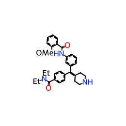 CCN(CC)C(=O)c1ccc(C(=C2CCNCC2)c2cccc(NC(=O)c3ccccc3OC)c2)cc1